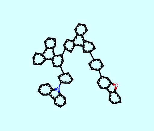 c1cc(-c2cc(-c3ccc4c5ccccc5c5ccc(-c6ccc(-c7ccc8c(c7)oc7ccccc78)cc6)cc5c4c3)c3c4ccccc4c4ccccc4c3c2)cc(-n2c3ccccc3c3ccccc32)c1